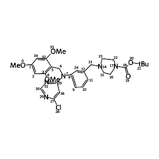 COc1cc(OC)c(CN(c2cccc(CN3CCN(C(=O)OC(C)(C)C)CC3)c2)c2cc(Cl)ncn2)c(OC)c1